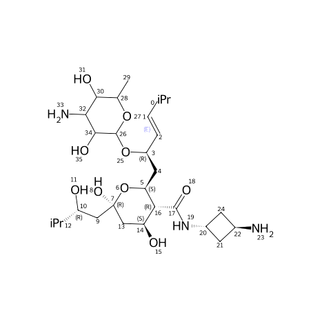 CC(C)/C=C/[C@@H](C[C@@H]1O[C@](O)(C[C@@H](O)C(C)C)C[C@H](O)[C@H]1C(=O)N[C@H]1C[C@H](N)C1)OC1OC(C)C(O)C(N)C1O